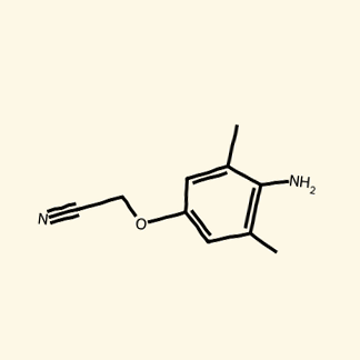 Cc1cc(OCC#N)cc(C)c1N